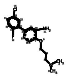 CN(C)CCCOc1nnc(-c2cc(Cl)ccc2F)cc1N